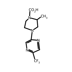 CC1CN(c2cnc(C(F)(F)F)cn2)CCN1C(=O)O